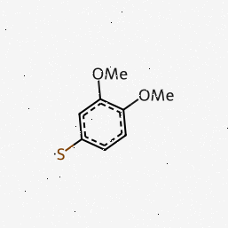 COc1ccc([S])cc1OC